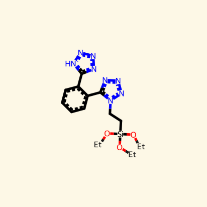 CCO[Si](CCn1nnnc1-c1ccccc1-c1nnn[nH]1)(OCC)OCC